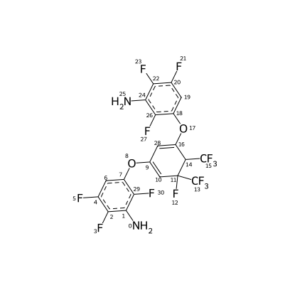 Nc1c(F)c(F)cc(OC2=CC(F)(C(F)(F)F)C(C(F)(F)F)C(Oc3cc(F)c(F)c(N)c3F)=C2)c1F